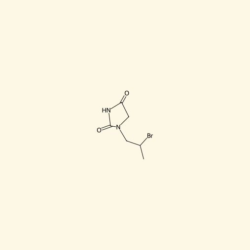 CC(Br)CN1CC(=O)NC1=O